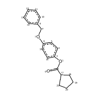 O=C(Oc1ccc(OCc2ccccc2)cc1)C1CCCC1